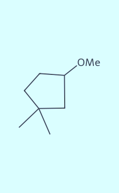 COC1CCC(C)(C)C1